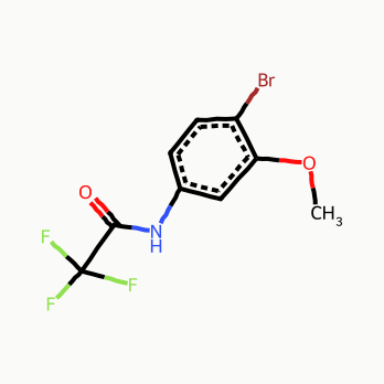 COc1cc(NC(=O)C(F)(F)F)ccc1Br